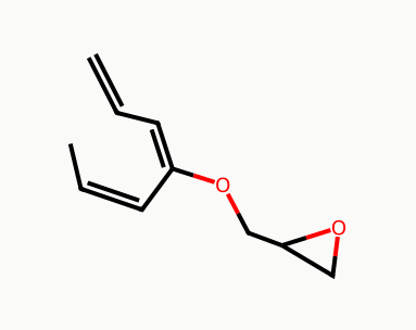 C=C/C=C(\C=C/C)OCC1CO1